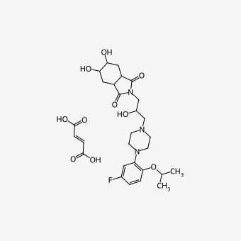 CC(C)Oc1ccc(F)cc1N1CCN(CC(O)CN2C(=O)C3CC(O)C(O)CC3C2=O)CC1.O=C(O)C=CC(=O)O